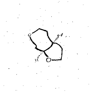 C1C[C@H]2CCO[C@H]2CO1